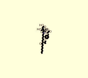 C=CCOc1ccc(C[C@H](NC(=O)[C@@H](/C=C/CCCCCCC(=O)CCCCCCC)[C@@](O)(CC(=O)O)C(=O)O)C(=O)O)cc1